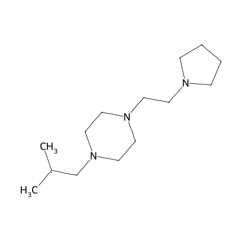 C[C](C)CN1CCN(CCN2CCCC2)CC1